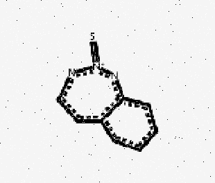 S=[n+]1nccc2ccccc2n1